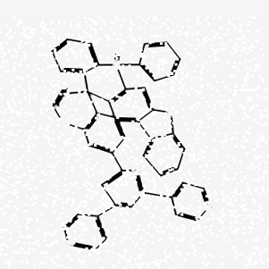 O=P1(c2ccccc2)c2ccccc2C2(c3ccccc3Sc3cc(-c4cc(-c5ccncc5)cc(-c5ccncc5)n4)ccc32)c2cc3c(cc21)oc1ccccc13